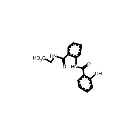 O=C(O)CNC(=O)c1ccccc1NC(=O)c1ccccc1O